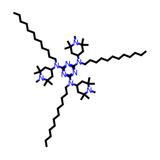 CCCCCCCCCCCCN(c1nc(N(CCCCCCCCCCCC)C2CC(C)(C)N(C)C(C)(C)C2)nc(N(CCCCCCCCCCCC)C2CC(C)(C)N(C)C(C)(C)C2)n1)C1CC(C)(C)N(C)C(C)(C)C1